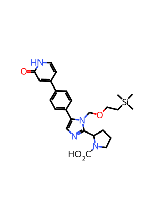 C[Si](C)(C)CCOCn1c(-c2ccc(-c3cc[nH]c(=O)c3)cc2)cnc1C1CCCN1C(=O)O